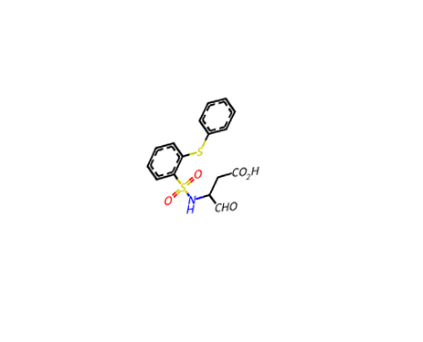 O=CC(CC(=O)O)NS(=O)(=O)c1ccccc1Sc1ccccc1